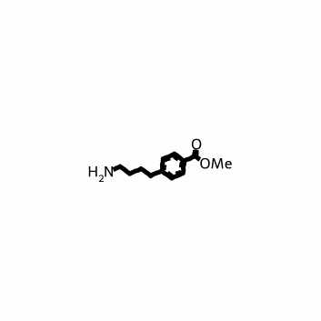 COC(=O)c1ccc(CCCCN)cc1